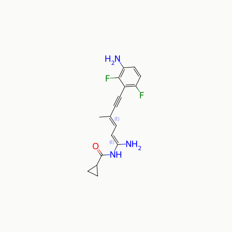 C/C(C#Cc1c(F)ccc(N)c1F)=C\C=C(/N)NC(=O)C1CC1